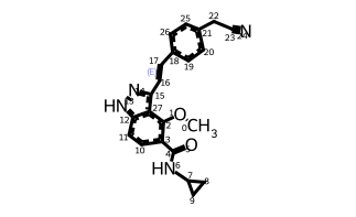 COc1c(C(=O)NC2CC2)ccc2[nH]nc(/C=C/c3ccc(CC#N)cc3)c12